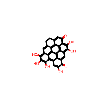 O=c1c(O)cc2c3c(O)c(O)c(O)c4cc5c6c7c(cc(=O)c8c(O)c(O)c9cc1c2c(c9c87)c6c43)CC5